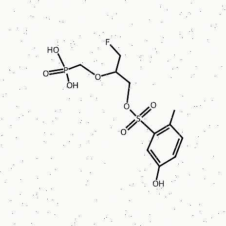 Cc1ccc(O)cc1S(=O)(=O)OCC(CF)OCP(=O)(O)O